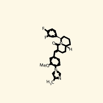 COc1cc(/C=C2\CC[C@H]3CCC[C@H](c4ccc(F)c(F)c4)N3C2=O)ccc1-n1cnc(C)c1